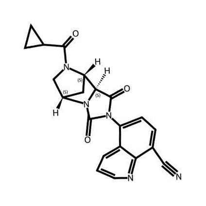 N#Cc1ccc(N2C(=O)[C@@H]3[C@@H]4C[C@@H](CN4C(=O)C4CC4)N3C2=O)c2cccnc12